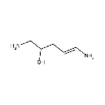 NC=CCC(O)CN